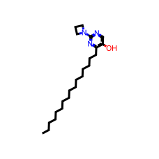 CCCCCCCCCCCCCCCCc1nc(N2CCC2)ncc1O